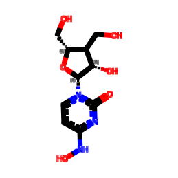 O=c1nc(NO)ccn1[C@@H]1O[C@H](CO)C(CO)[C@@H]1O